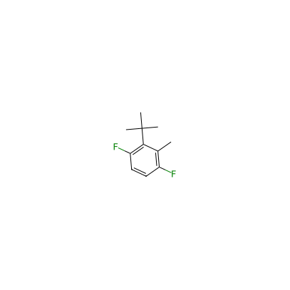 Cc1c(F)ccc(F)c1C(C)(C)C